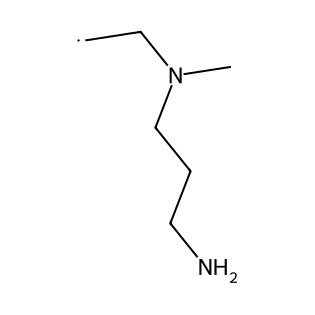 [CH2]CN(C)CCCN